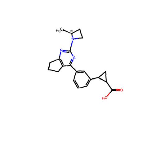 C[C@H]1CCN1c1nc2c(c(-c3cccc(C4CC4C(=O)O)c3)n1)CCC2